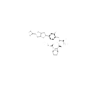 CC(C)(C)OC(=O)N1C2CCC(C2)C1C(=O)N[C@@H](Cc1ccc(C2CC3CN(C4COC4)CC3C2)cc1F)C(N)=O